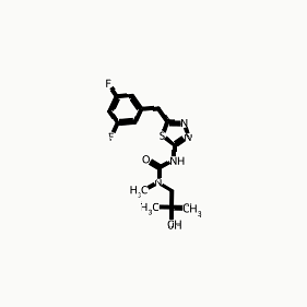 CN(CC(C)(C)O)C(=O)Nc1nnc(Cc2cc(F)cc(F)c2)s1